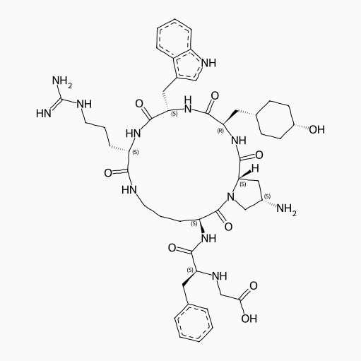 N=C(N)NCCC[C@@H]1NC(=O)[C@H](Cc2c[nH]c3ccccc23)NC(=O)[C@@H](C[C@H]2CC[C@@H](O)CC2)NC(=O)[C@@H]2C[C@H](N)CN2C(=O)[C@@H](NC(=O)[C@H](Cc2ccccc2)NCC(=O)O)CCCNC1=O